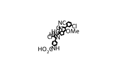 COc1c(-c2cc(Cl)ccc2C#N)c[n+]([O-])c2c1CCC2(O)c1nc(-c2ccc(NC(=O)O)cc2)c(Cl)[nH]1